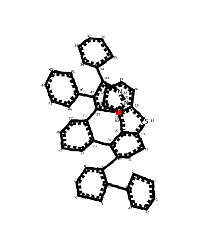 c1ccc(-c2ccccc2-c2ccc3sc4ccccc4c3c2-c2ccccc2-c2nnnc(-c3ccccc3)c2-c2ccccc2)cc1